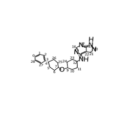 c1ccc([C@H]2CC[C@H](OC3CCC(Nc4ncnc5[nH]ncc45)CC3)CC2)cc1